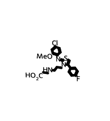 COc1cc(Cl)ccc1N=c1scc(-c2ccc(F)cc2)n1CCCNCCC(=O)O